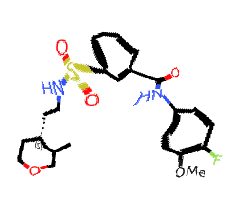 COc1cc(NC(=O)c2cccc(S(=O)(=O)NCC[C@H]3CCOCC3C)c2)ccc1F